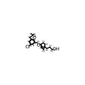 CC1(C)Cc2cc(Cl)cc(COC34CCC(CCCO)(CC3)C4)c2O1